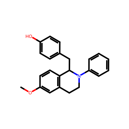 COc1ccc2c(c1)CCN(c1ccccc1)C2Cc1ccc(O)cc1